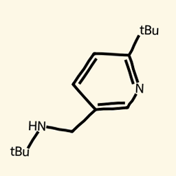 CC(C)(C)NCc1ccc(C(C)(C)C)nc1